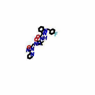 CC(C)(C)[C@H](NC(=O)c1nn(Cc2ccc(F)cc2)c2ccccc12)C(=O)NCc1nc(-c2ccccn2)no1